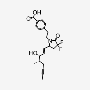 CC#CC[C@H](C)[C@H](O)C=CC1CC(F)(F)C(=O)N1CCc1ccc(C(=O)O)cc1